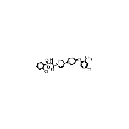 Cc1cc(Cl)ccc1OC1CCN(C2CCN(C(=O)NS(=O)(=O)c3ccccc3Cl)CC2)CC1